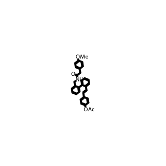 COc1ccc(CC(=O)NCc2ccccc2-c2ccccc2/C=C/c2ccc(OC(C)=O)cc2)cc1